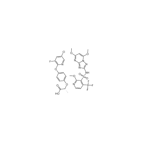 COc1cc(OC)n2nc(NS(=O)(=O)c3c(C(F)(F)F)ccnc3OC)nc2n1.C[C@@H](Oc1ccc(Oc2ncc(Cl)cc2F)cc1)C(=O)O